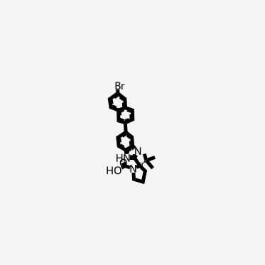 CC(C)(C)[C@]1(c2nc3cc(-c4ccc5cc(Br)ccc5c4)ccc3[nH]2)CCCN1C(=O)O